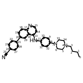 CCCCN1CCN(c2ccc(Nc3ccnc4ccc(-c5ccc(C#N)cc5)cc34)cc2)CC1